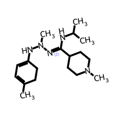 CC1=CC=C(NN(C)/N=C(\NC(C)C)C2CCN(C)CC2)CC1